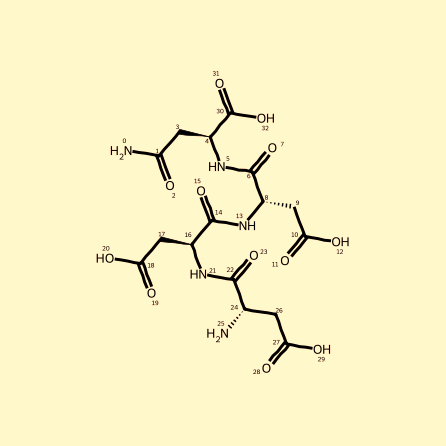 NC(=O)C[C@H](NC(=O)[C@H](CC(=O)O)NC(=O)[C@H](CC(=O)O)NC(=O)[C@@H](N)CC(=O)O)C(=O)O